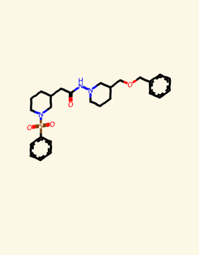 O=C(CC1CCCN(S(=O)(=O)c2ccccc2)C1)NN1CCCC(COCc2ccccc2)C1